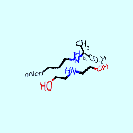 CCCCCCCCCCCCN[C@@H](C)C(=O)O.OCCNCCO